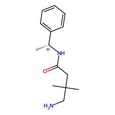 C[C@@H](NC(=O)CC(C)(C)CN)c1ccccc1